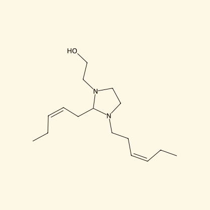 CC/C=C\CCN1CCN(CCO)C1C/C=C\CC